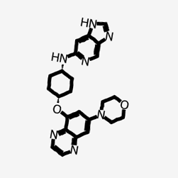 c1cnc2c(O[C@H]3CC[C@@H](Nc4cc5[nH]cnc5cn4)CC3)cc(N3CCOCC3)cc2n1